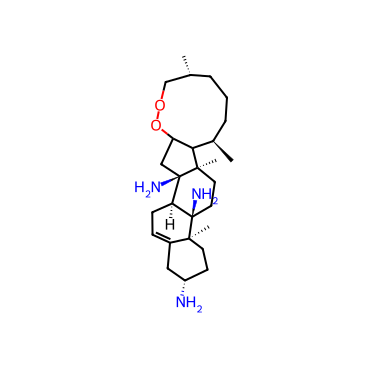 C[C@@H]1CCC[C@@H](C)C2C(C[C@@]3(N)[C@@H]4CC=C5C[C@@H](N)CC[C@]5(C)[C@@]4(N)CC[C@]23C)OOC1